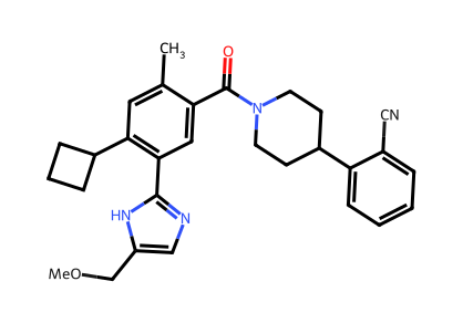 COCc1cnc(-c2cc(C(=O)N3CCC(c4ccccc4C#N)CC3)c(C)cc2C2CCC2)[nH]1